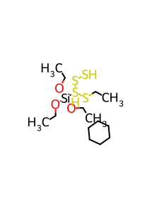 C1CCCCC1.CCO[Si](OCC)(OCC)[SH](SS)SCC